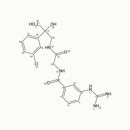 N=C(N)Nc1cccc(C(=O)NCC(=O)NCC(O)(C(=O)O)c2cccc(Cl)c2)c1